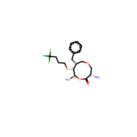 C[C@@H]1OC(=O)[C@@H](N)COC[C@H](Cc2ccccc2)[C@H]1OCCCC(F)(F)F